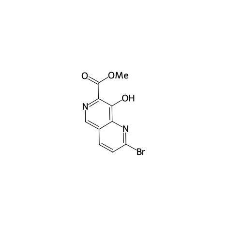 COC(=O)c1ncc2ccc(Br)nc2c1O